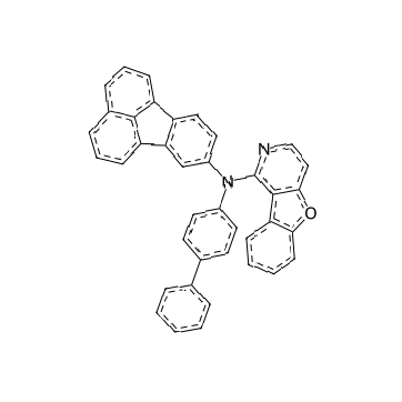 c1ccc(-c2ccc(N(c3ccc4c(c3)-c3cccc5cccc-4c35)c3nccc4oc5ccccc5c34)cc2)cc1